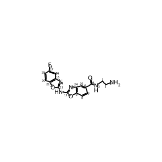 NCCNC(=O)c1ccc2oc(Nc3nc4cc(F)ccc4o3)nc2c1